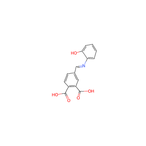 O=C(O)c1ccc(/C=N/c2ccccc2O)cc1C(=O)O